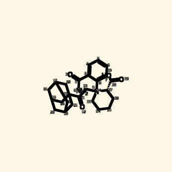 NC(=O)c1ccccc1[N+]1(CC(=O)C23CC4CC(CC(C4)C2)C3)CCCC[C@H]1C(=O)O